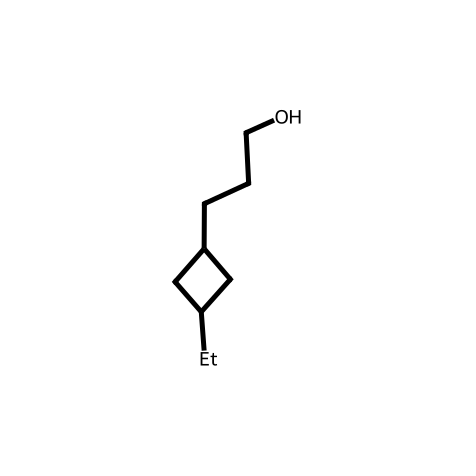 CCC1CC(CCCO)C1